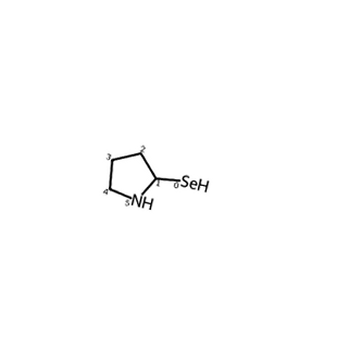 [SeH]C1CCCN1